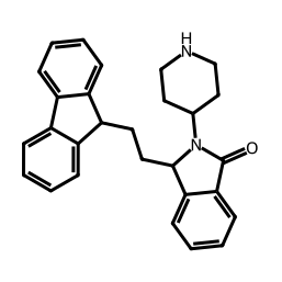 O=C1c2ccccc2C(CCC2c3ccccc3-c3ccccc32)N1C1CCNCC1